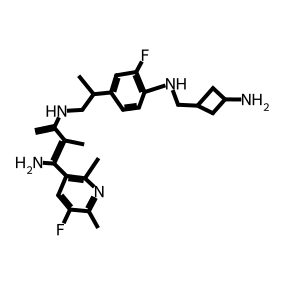 C=C(NCC(C)c1ccc(NCC2CC(N)C2)c(F)c1)/C(C)=C(\N)c1cc(F)c(C)nc1C